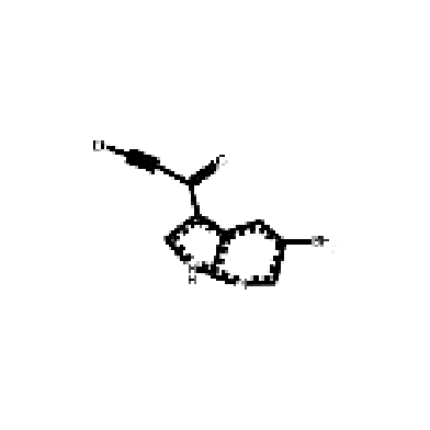 Bc1cnc2[nH]cc(C(=O)C#CCC)c2c1